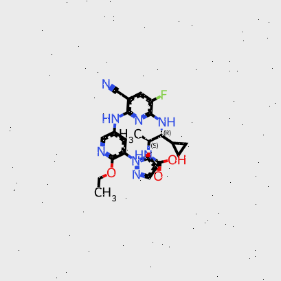 CCOc1ncc(Nc2nc(N[C@H](C3CC3)[C@H](C)NC(=O)O)c(F)cc2C#N)cc1-n1cccn1